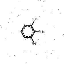 [2H]c1cccc([2H])c1[2H]